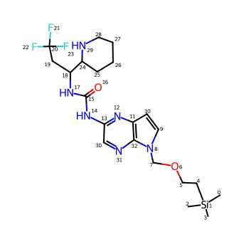 C[Si](C)(C)CCOCn1ccc2nc(NC(=O)NC(CC(F)(F)F)C3CCCCN3)cnc21